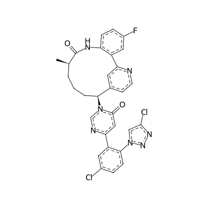 C[C@@H]1CCC[C@H](n2cnc(-c3cc(Cl)ccc3-n3cc(Cl)nn3)cc2=O)c2ccnc(c2)-c2cc(F)ccc2NC1=O